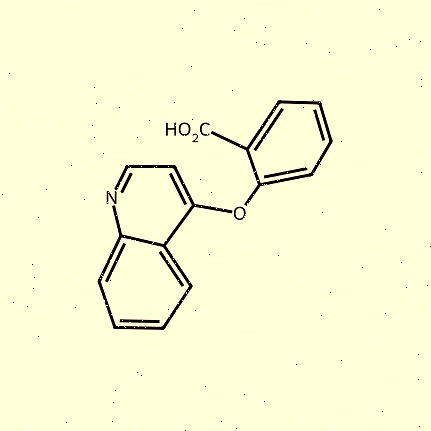 O=C(O)c1ccccc1Oc1ccnc2ccccc12